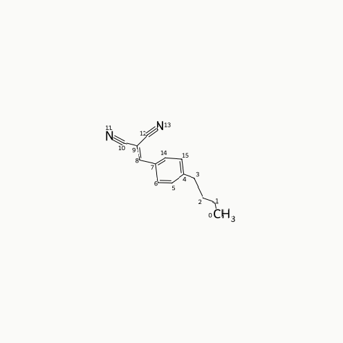 CCCCc1ccc(C=C(C#N)C#N)cc1